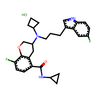 Cl.O=C(NC1CC1)c1ccc(F)c2c1CC(N(CCCc1c[nH]c3ccc(F)cc13)C1CCC1)CO2